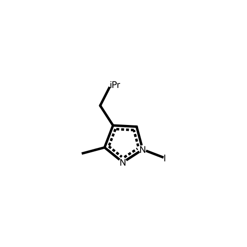 Cc1nn(I)cc1CC(C)C